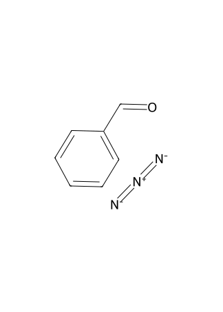 O=Cc1ccccc1.[N-]=[N+]=[N-]